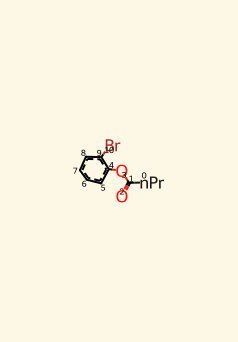 CCCC(=O)Oc1ccccc1Br